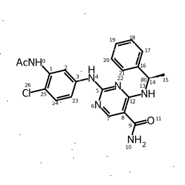 CC(=O)Nc1cc(Nc2ncc(C(N)=O)c(N[C@H](C)c3ccccc3)n2)ccc1Cl